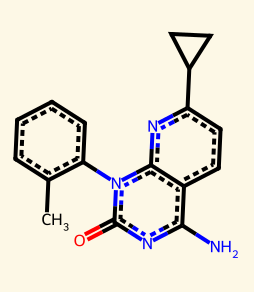 Cc1ccccc1-n1c(=O)nc(N)c2ccc(C3CC3)nc21